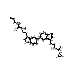 C=CCNC(=O)NCCc1csc2ccc(-c3cnc4[nH]cc(CCNC(=O)C5CC5)c4c3)cc12